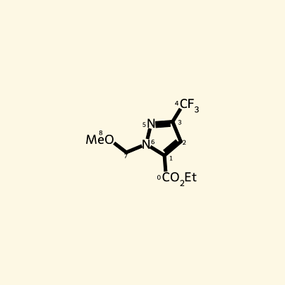 CCOC(=O)c1cc(C(F)(F)F)nn1COC